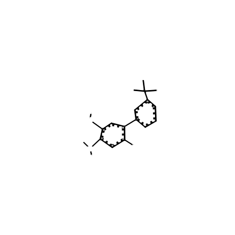 COc1cc(-c2cccc(C(F)(F)F)c2)c(F)cc1B(O)O